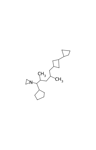 CC(CC1CC(C2CCC2)C1)CC(C)C(C1CCCC1)N1CC1